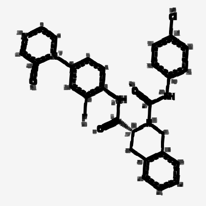 O=C(Nc1ccc(-n2ccncc2=O)cc1F)[C@H]1Cc2ccccc2CN1C(=O)Nc1ccc(Cl)cc1